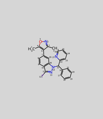 Cc1noc(C)c1-c1ccc2c(I)nn(C(c3ccccc3)c3ccccn3)c2c1